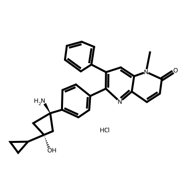 Cl.Cn1c(=O)ccc2nc(-c3ccc([C@]4(N)C[C@@](O)(C5CC5)C4)cc3)c(-c3ccccc3)cc21